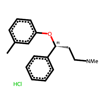 CNCC[C@@H](Oc1cccc(C)c1)c1ccccc1.Cl